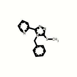 CSc1nnc(-c2ccccn2)n1Cc1ccccc1